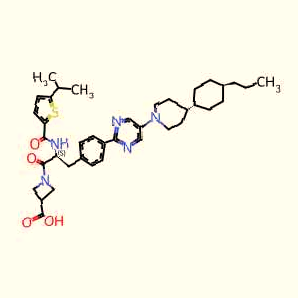 CCC[C@H]1CC[C@H](C2CCN(c3cnc(-c4ccc(C[C@H](NC(=O)c5ccc(C(C)C)s5)C(=O)N5CC(C(=O)O)C5)cc4)nc3)CC2)CC1